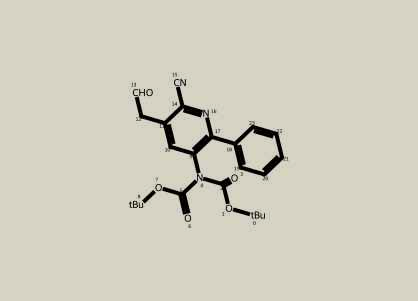 CC(C)(C)OC(=O)N(C(=O)OC(C)(C)C)c1cc(CC=O)c(C#N)nc1-c1ccccc1